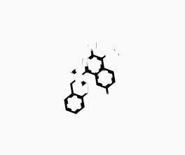 N#Cc1c(O)nc(S(=O)(=O)Cc2ccccc2F)c2cc(F)ccc12